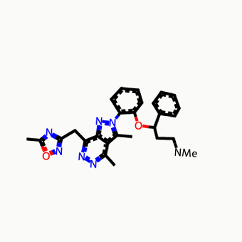 CNCCC(Oc1ccccc1-n1nc2c(Cc3noc(C)n3)nnc(C)c2c1C)c1ccccc1